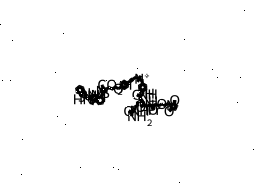 Cc1c(Nc2nc3ccccc3s2)nnc2c1CCCN2c1nc(C(=O)O)c(CCCOc2ccc(C#CC[N+](C)(C)Cc3ccc(NC(=O)[C@H](CCCNC(N)=O)NC(=O)[C@@H](NC(=O)CCOCCN4C(=O)C=CC4=O)C(C)C)cc3)cc2)s1